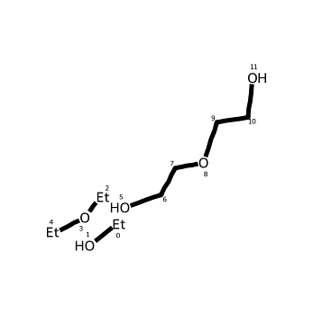 CCO.CCOCC.OCCOCCO